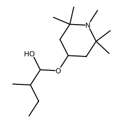 CCC(C)C(O)OC1CC(C)(C)N(C)C(C)(C)C1